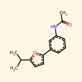 CC(=O)Nc1cccc(-c2ccc(C(C)C)o2)c1